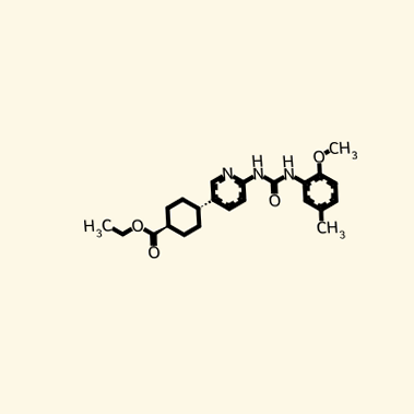 CCOC(=O)[C@H]1CC[C@H](c2ccc(NC(=O)Nc3cc(C)ccc3OC)nc2)CC1